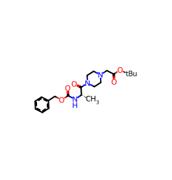 C[C@H](NC(=O)OCc1ccccc1)C(=O)N1CCN(CC(=O)OC(C)(C)C)CC1